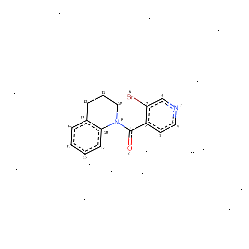 O=C(c1ccncc1Br)N1CCCc2ccccc21